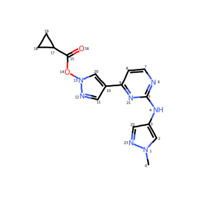 Cn1cc(Nc2nccc(-c3cnn(OC(=O)C4CC4)c3)n2)cn1